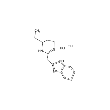 CCC1CCN=C(Cc2nc3ccccc3[nH]2)N1.Cl.Cl